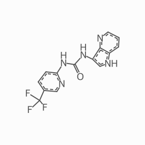 O=C(Nc1ccc(C(F)(F)F)cn1)Nc1c[nH]c2cccnc12